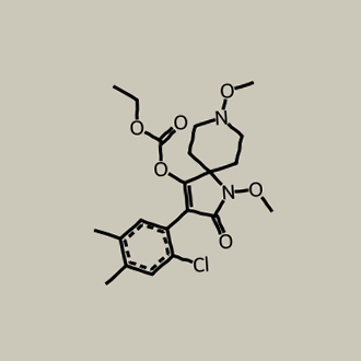 CCOC(=O)OC1=C(c2cc(C)c(C)cc2Cl)C(=O)N(OC)C12CCN(OC)CC2